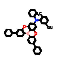 Cc1ccc(C(C)(C)C)cc1N(c1ccccc1)c1cc2c3c(c1)Oc1cc(-c4ccccc4)ccc1B3c1ccc(-c3ccccc3)cc1O2